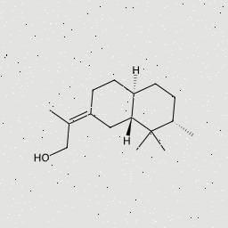 CC(CO)=C1CC[C@H]2CC[C@H](C)C(C)(C)[C@@H]2C1